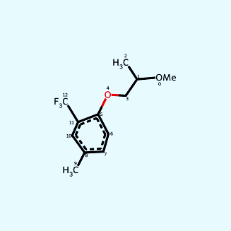 COC(C)COc1ccc(C)cc1C(F)(F)F